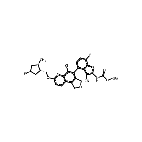 CN1C[C@H](F)C[C@H]1COc1ccc2c3c(c(-c4ccc(F)c5sc(NC(=O)OC(C)(C)C)c(C#N)c45)c(Cl)c2n1)COC3